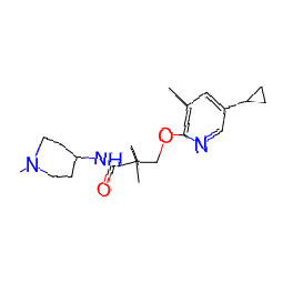 Cc1cc(C2CC2)cnc1OCC(C)(C)C(=O)NC1CCN(C)CC1